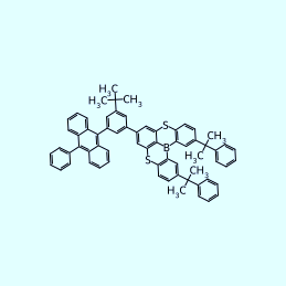 CC(C)(C)c1cc(-c2cc3c4c(c2)Sc2ccc(C(C)(C)c5ccccc5)cc2B4c2cc(C(C)(C)c4ccccc4)ccc2S3)cc(-c2c3ccccc3c(-c3ccccc3)c3ccccc23)c1